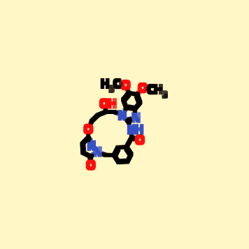 COc1cc2nc3n(c2cc1OC)CC(O)CCOc1ccc(=O)n(n1)Cc1cccc(c1)C(=O)N3